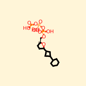 O=P(O)(O)OP(=O)(O)OP(=O)(O)OC[C@@H]1CCC(C2CC(C3CCCCC3)C2)O1